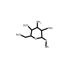 CCCSC1OC(COC(C)=O)C(OC(C)=O)C(N)C1OC(C)=O